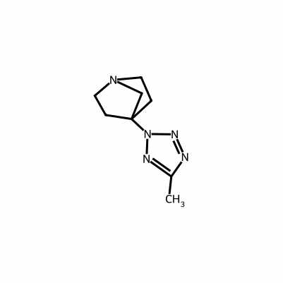 Cc1nnn(C23CCN(CC2)C3)n1